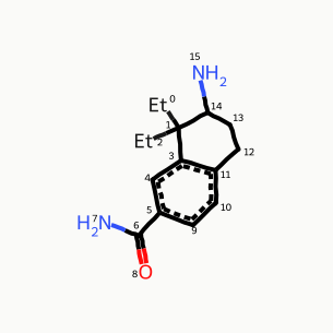 CCC1(CC)c2cc(C(N)=O)ccc2CCC1N